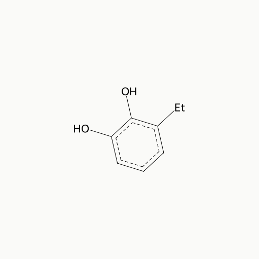 [CH2]Cc1cccc(O)c1O